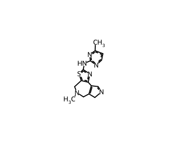 Cc1ccnc(Nc2nc3c(s2)CN(C)CC2=C3C=NC2)n1